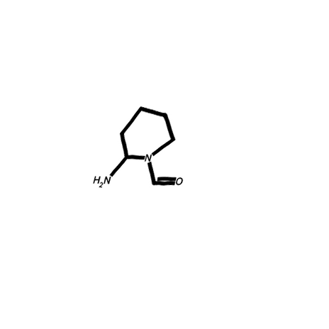 NC1CCCCN1C=O